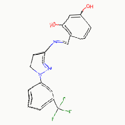 Oc1ccc(C=NC2=NN(c3cccc(C(F)(F)F)c3)CC2)c(O)c1